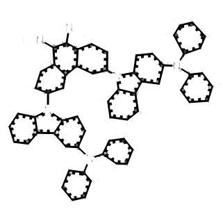 Nc1c(N)c2ccc(-n3c4ccccc4c4cc(N(c5ccccc5)c5ccccc5)ccc43)cc2c2cc(-n3c4ccccc4c4cc(N(c5ccccc5)c5ccccc5)ccc43)ccc12